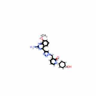 COc1cccc2c(-c3cn(Cc4cccn([C@H]5CC[C@@H](O)CC5)c4=O)nn3)nc(N)nc12